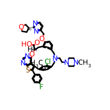 Cc1c2ccc(c1Cl)CN(CCN1CCN(C)CC1)Cc1ccc(OCc3ccnc([C@@H]4CCOC4)n3)c(c1)C[C@H](C(=O)O)Oc1ncnc3sc(-c4ccc(F)cc4)c-2c13